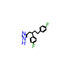 Fc1ccc(CCC(Cc2c[nH]cn2)c2ccc(F)cc2)cc1